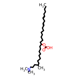 CCCCCC=CCC=CCCCCCCCC(CCCCCCCCC(C)CCCN(C)C)OC(=O)O